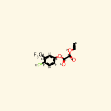 C=COC(=O)C(=O)Oc1ccc(F)c(C(F)(F)F)c1